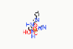 Cc1ccc(-c2ccc(C(=O)Nc3ccc(O)c(NS(=O)(=O)CCN4CCN(C)CC4)c3)cn2)cc1